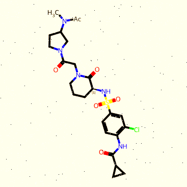 CC(=O)N(C)C1CCN(C(=O)CN2CCC[C@H](NS(=O)(=O)c3ccc(NC(=O)C4CC4)c(Cl)c3)C2=O)C1